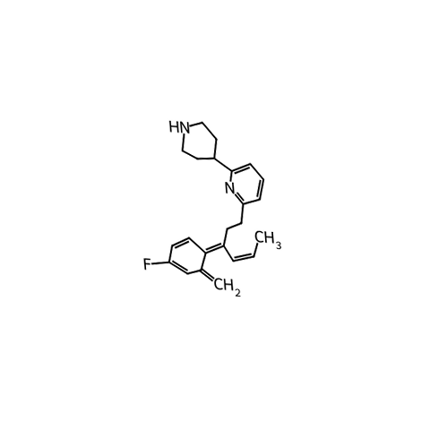 C=c1cc(F)cc/c1=C(/C=C\C)CCc1cccc(C2CCNCC2)n1